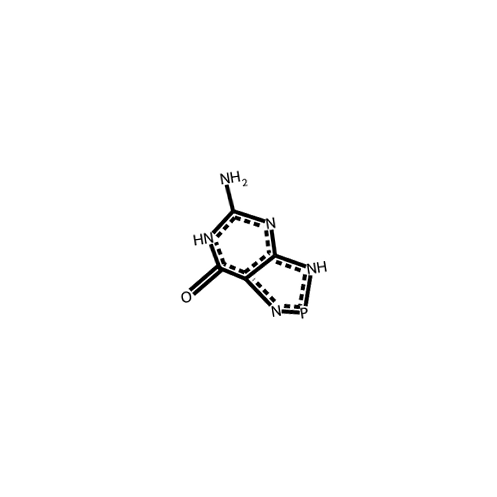 Nc1nc2[nH]pnc2c(=O)[nH]1